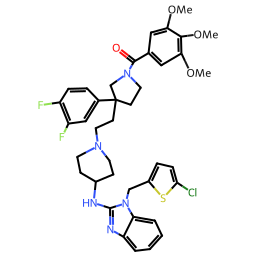 COc1cc(C(=O)N2CCC(CCN3CCC(Nc4nc5ccccc5n4Cc4ccc(Cl)s4)CC3)(c3ccc(F)c(F)c3)C2)cc(OC)c1OC